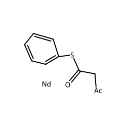 CC(=O)CC(=O)Sc1ccccc1.[Nd]